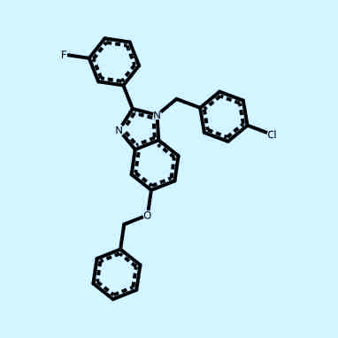 Fc1cccc(-c2nc3cc(OCc4ccccc4)ccc3n2Cc2ccc(Cl)cc2)c1